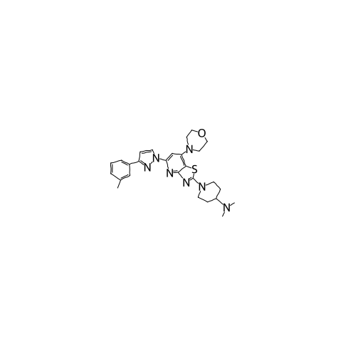 Cc1cccc(-c2ccn(-c3cc(N4CCOCC4)c4sc(N5CCC(N(C)C)CC5)nc4n3)n2)c1